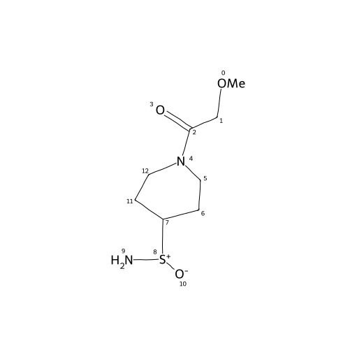 COCC(=O)N1CCC([S+](N)[O-])CC1